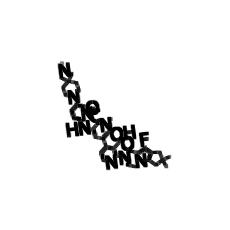 CN1CC2(CCN(c3ccc(NC4=CC(c5ccnc(N6CCn7c8c(c(F)c7C6=O)CC(C)(C)C8)c5CO)=CN(C)C4=C=O)nc3)CC2)C1